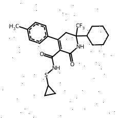 Cc1ccc(C2=C(C(=O)NSC3CC3)C(=O)NC(C3CCCCC3)(C(F)(F)F)C2)cc1